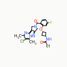 CCC(=O)N[C@H]1C[C@H](Oc2cc(F)ccc2C(=O)N2Cc3nn4c(C)c(Cl)c(C)nc4c3C2)C1